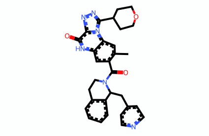 Cc1cc2c(cc1C(=O)N1CCc3ccccc3C1Cc1ccncc1)[nH]c(=O)c1nnc(C3CCOCC3)n12